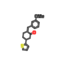 COc1cccc(/C=C2/CCC(c3cccs3)CC2=O)c1